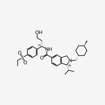 CCS(=O)(=O)c1ccc([C@H](CCO)NC(=O)c2ccc3c(c2)CN(C[C@H]2CC[C@H](C)CC2)[C@@H]3C(C)C)cc1